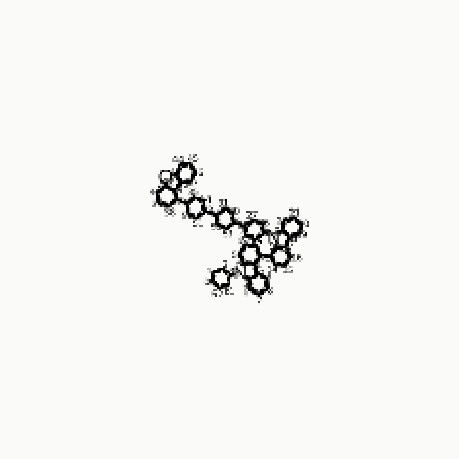 c1ccc(-n2c3ccccc3c3c(-c4cccc5c6ccccc6n(-c6ccc(-c7ccc(-c8ccc(-c9cccc%10oc%11ccccc%11c9%10)cc8)cc7)cc6)c45)cccc32)cc1